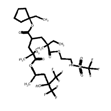 CCC1(OC(=O)C(CC(C)(C)C(=O)OC(C)CC(O)(C(F)(F)F)C(F)(F)F)CC(C)(CC)C(=O)OCCNS(=O)(=O)C(F)(F)F)CCCC1